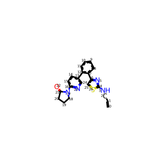 C=CCNc1nc(-c2ccccc2-c2ccc(N3CCCC3=O)nc2)cs1